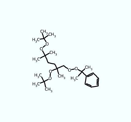 CC(C)(C)OOC(C)(C)CCC(C)(COOC(C)(C)c1ccccc1)OOC(C)(C)C